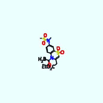 BC(=O)N1C(CC(=O)OCC)=CS(=O)(=O)c2cc(N(C)S(C)(=O)=O)ccc21